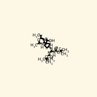 CCC=CC(NC(C)=O)C1(C(=O)O)CC[C@@H](NC(=NC(=O)OC(C)(C)C)NC(=O)OC(C)(C)C)C1